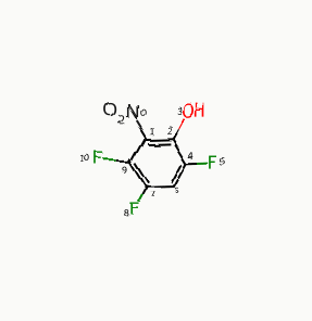 O=[N+]([O-])c1c(O)c(F)cc(F)c1F